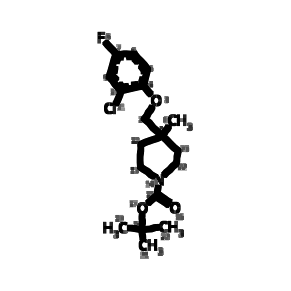 CC1(COc2ccc(F)cc2Cl)CCN(C(=O)OC(C)(C)C)CC1